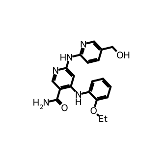 CCOc1ccccc1Nc1cc(Nc2ccc(CO)cn2)ncc1C(N)=O